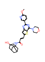 COc1ccc(-c2nc(N3CCOCC3)c3sc(/C=C/C(=O)NC45CC6CC(CC(O)(C6)C4)C5)cc3n2)cn1